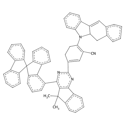 CC1(C)c2ccccc2-c2nc(C3=CC(C#N)=C(N4c5ccccc5C5=Cc6ccccc6CC54)CC3)nc(-c3cccc4c3-c3ccccc3C43c4ccccc4-c4ccccc43)c21